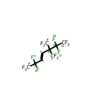 FC(F)(F)C(F)(F)C=CC(C(F)(F)F)(C(F)(F)F)C(F)(F)C(F)(F)F